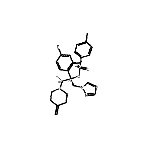 C=C1CCN([C@H](C)[C@@](Cn2cncn2)(OS(=O)(=O)c2ccc(C)cc2)c2ccc(F)cc2F)CC1